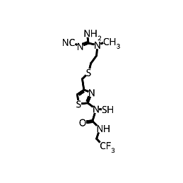 CN(CCSCc1csc(N(S)C(=O)NCC(F)(F)F)n1)C(N)=NC#N